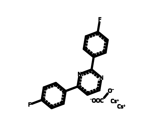 Fc1ccc(-c2ccnc(-c3ccc(F)cc3)n2)cc1.O=C([O-])[O-].[Cs+].[Cs+]